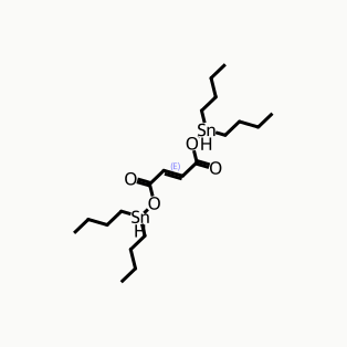 CCC[CH2][SnH]([CH2]CCC)[O]C(=O)/C=C/C(=O)[O][SnH]([CH2]CCC)[CH2]CCC